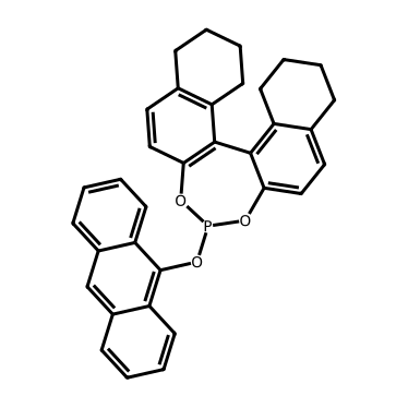 c1ccc2c(Op3oc4ccc5c(c4c4c6c(ccc4o3)CCCC6)CCCC5)c3ccccc3cc2c1